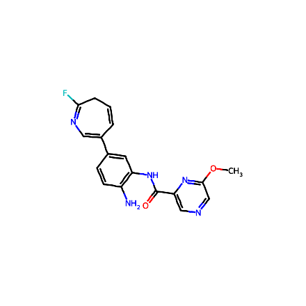 COc1cncc(C(=O)Nc2cc(C3=CN=C(F)CC=C3)ccc2N)n1